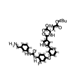 COC(=O)[C@H](CCC(=O)OC(C)(C)C)NC(=O)c1c[nH]c(-c2cc(Oc3ccc(NC(=O)Nc4cccc(CN)c4)c(F)c3)ccn2)c1